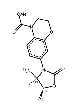 COC(=O)N1CCOc2cc(N3C(=O)O[C@@H](C(C)=O)[C@@]3(C)N)ccc21